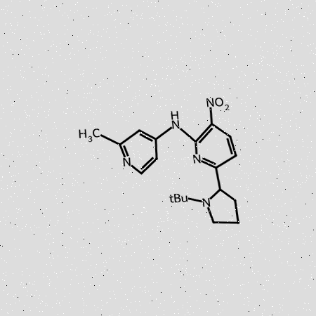 Cc1cc(Nc2nc(C3CCCN3C(C)(C)C)ccc2[N+](=O)[O-])ccn1